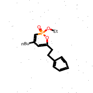 CCCCC1=CP(=O)(OCC)OC(CCc2ccccc2)=C1